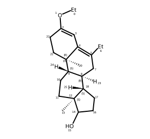 CCOC1=CC2=C(CC)C[C@@H]3[C@H](CC[C@]4(C)C(O)CC[C@@H]34)[C@@]2(C)CC1